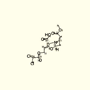 COC(=O)/C=C1/C[C@H]2O/C(=C\COC(=O)C(Cl)Cl)[C@H](C(=O)O)N12